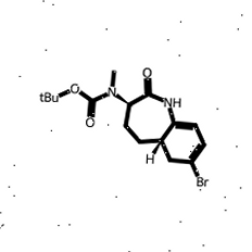 CN(C(=O)OC(C)(C)C)[C@@H]1CC[C@H]2CC(Br)=CC=C2NC1=O